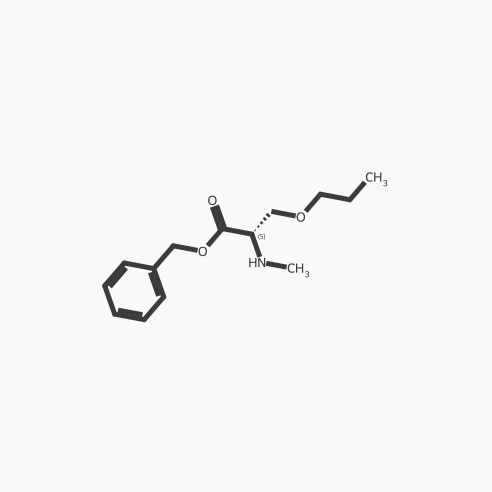 CCCOC[C@H](NC)C(=O)OCc1ccccc1